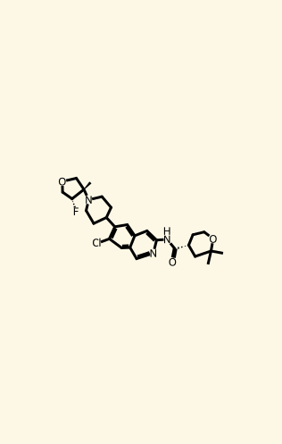 CC1(C)C[C@H](C(=O)Nc2cc3cc(C4CCN([C@@]5(C)COC[C@H]5F)CC4)c(Cl)cc3cn2)CCO1